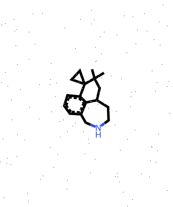 CC1(C)CC2CCNCc3cccc(c32)C12CC2